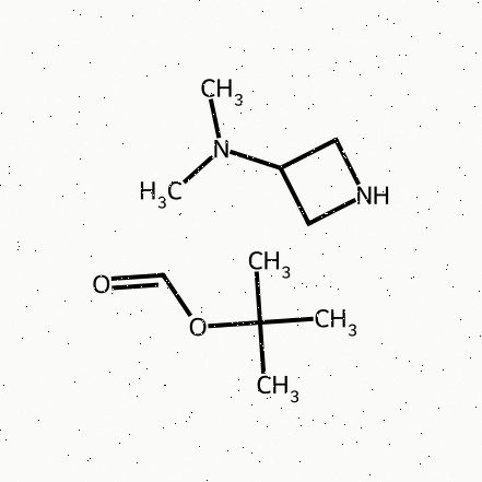 CC(C)(C)OC=O.CN(C)C1CNC1